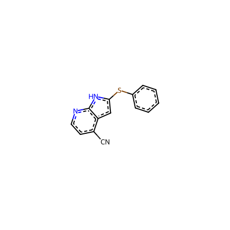 N#Cc1ccnc2[nH]c(Sc3ccccc3)cc12